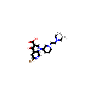 CCN(CC)CCN1CCCC(n2cc(C(=O)O)c(=O)c3cc(Br)ncc32)C1